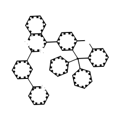 c1ccc(C2(c3ccccc3)c3ccccc3Sc3ccc(-c4nc(-c5cccc(-c6ccccn6)c5)nc5ccccc45)cc32)cc1